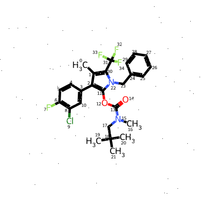 Cc1c(-c2ccc(F)c(Cl)c2)c(OC(=O)N(C)CC(C)(C)C)n(Cc2ccccc2)c1C(F)(F)F